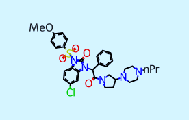 CCCN1CCN(C2CCN(C(=O)C(c3ccccc3)n3c(=O)n(S(=O)(=O)c4ccc(OC)cc4)c4ccc(Cl)cc43)C2)CC1